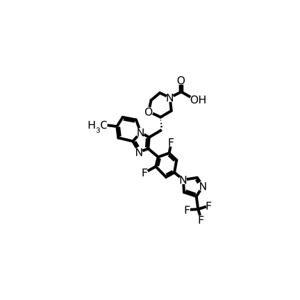 Cc1ccn2c(C[C@H]3CN(C(=O)O)CCO3)c(-c3c(F)cc(-n4cnc(C(F)(F)F)c4)cc3F)nc2c1